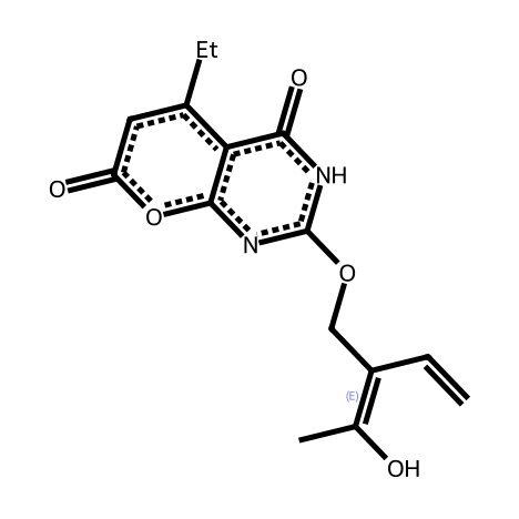 C=C/C(COc1nc2oc(=O)cc(CC)c2c(=O)[nH]1)=C(/C)O